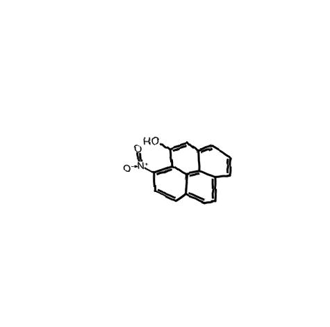 O=[N+]([O-])c1ccc2ccc3cccc4cc(O)c1c2c34